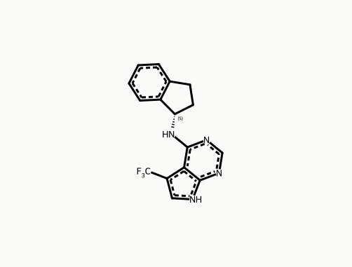 FC(F)(F)c1c[nH]c2ncnc(N[C@H]3CCc4ccccc43)c12